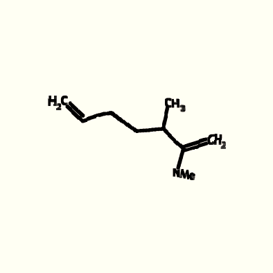 C=CCCC(C)C(=C)NC